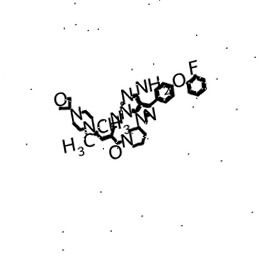 CC(C)(C=C(C#N)C(=O)N1CCCC(n2nc(-c3ccc(Oc4ccccc4F)cc3)c3c(N)ncnc32)C1)N1CCN(C2COC2)CC1